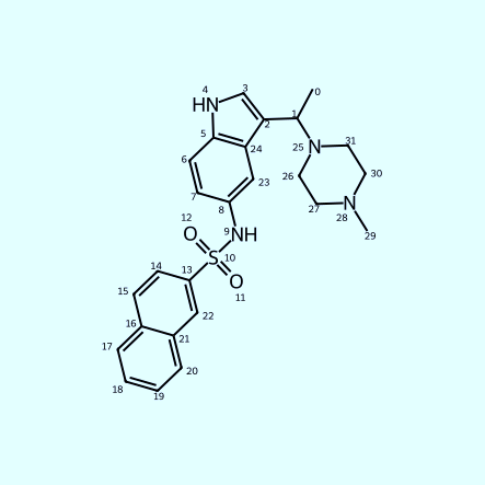 CC(c1c[nH]c2ccc(NS(=O)(=O)c3ccc4ccccc4c3)cc12)N1CCN(C)CC1